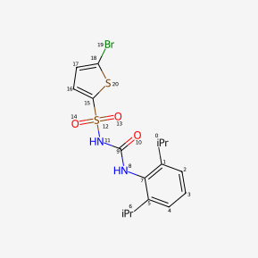 CC(C)c1cccc(C(C)C)c1NC(=O)NS(=O)(=O)c1ccc(Br)s1